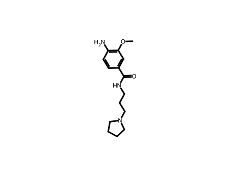 COc1cc(C(=O)NCCCN2CCCC2)ccc1N